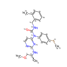 COC[C@H](C)Nc1nccc(N(C(=O)NCc2ccccc2C)c2ccc(SC)cc2)n1